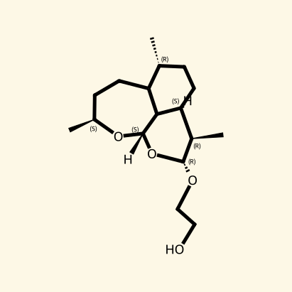 C[C@H]1[C@H](OCCO)O[C@@H]2O[C@@H](C)CCC3C2[C@H]1CC[C@H]3C